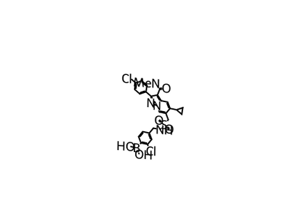 CNC(=O)c1c(-c2ccc(Cl)cc2)nn2cc(CS(=O)(=O)NCc3ccc(B(O)O)c(Cl)c3)c(C3CC3)cc12